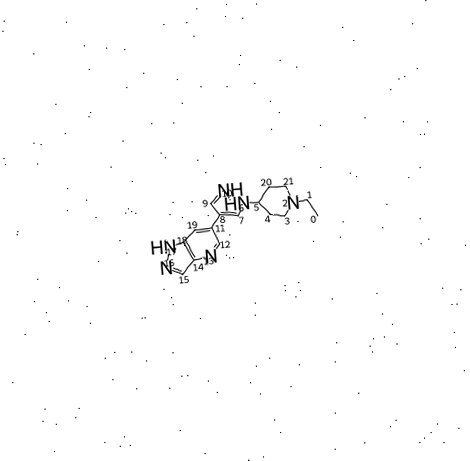 CCN1CCC(N/C=C(\C=N)c2cnc3cn[nH]c3c2)CC1